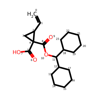 C=CC1CC1(C(=O)O)C(=O)OC(C1CCCCC1)C1CCCCC1